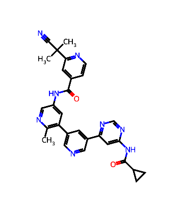 Cc1ncc(NC(=O)c2ccnc(C(C)(C)C#N)c2)cc1-c1cncc(-c2cc(NC(=O)C3CC3)ncn2)c1